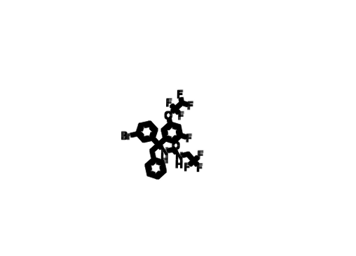 O=C(NCC(F)(F)F)NC(Cc1ccccc1)(c1cccc(Br)c1)c1cc(F)cc(OC(F)(F)C(F)F)c1